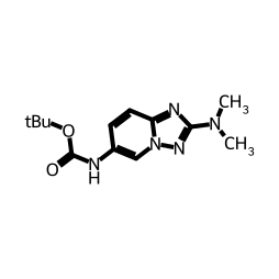 CN(C)c1nc2ccc(NC(=O)OC(C)(C)C)cn2n1